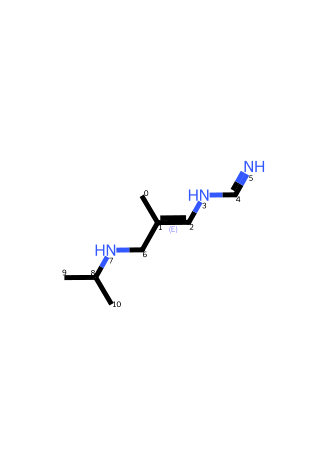 C/C(=C\NC=N)CNC(C)C